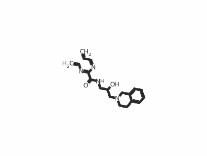 C=C/C=N\C(=N/C=C)C(=O)NCC(O)CN1CCc2ccccc2C1